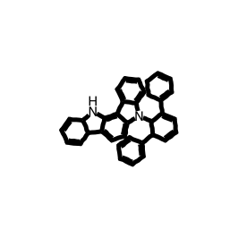 C1=CCCC(C2=CC=CC(c3ccccc3)C2n2c3ccccc3c3c4c(ccc32)C2C=CC=CC2N4)=C1